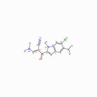 CC(C)c1cc2cc(C(=O)/C(C#N)=C/N(C)C)n(I)c2cc1Br